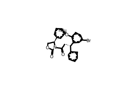 CCCCOc1ccc(Br)cc1[C@@H](CC(=O)N1C(=O)OC[C@H]1c1ccccc1)c1ccccc1